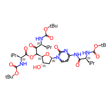 CC(C)[C@H](NC(=O)OC(C)(C)C)C(=O)Nc1ccn([C@H]2C[C@H](O)[C@@H](C(OC(=O)[C@@H](NC(=O)OC(C)(C)C)C(C)C)C(=O)[C@@H](NC(=O)OC(C)(C)C)C(C)C)O2)c(=O)n1